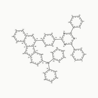 c1ccc(-c2nc(-c3ccccc3)nc(-c3ccc(-c4cc5ccccc5c5oc6ccc(N(c7ccccc7)c7ccccc7)cc6c45)cc3)n2)cc1